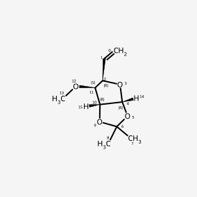 C=C[C@H]1O[C@@H]2OC(C)(C)O[C@@H]2[C@H]1OC